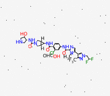 Cn1c(-c2cn(CC(F)F)nc2C(F)(F)F)cnc1C(=O)Nc1ccc(C(=O)N[C@H]2[C@@H]3CN(C(=O)N[C@@H]4CNC[C@H]4O)C[C@@H]32)c(Cl)c1.O=CO